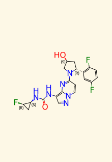 O=C(Nc1cnn2ccc(N3C[C@@H](O)C[C@@H]3c3cc(F)ccc3F)nc12)N[C@H]1C[C@H]1F